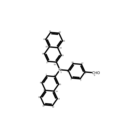 O=Cc1ccc(N(c2ccc3ccccc3c2)c2ccc3ccccc3c2)cc1